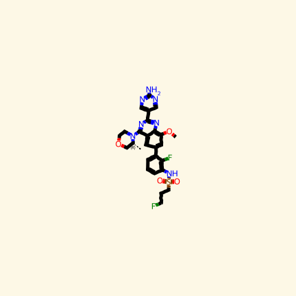 COc1cc(-c2cccc(NS(=O)(=O)CCCF)c2F)cc2c(N3CCOC[C@H]3C)nc(-c3cnc(N)nc3)nc12